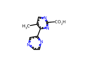 Cc1cnc(C(=O)O)nc1-c1cnccn1